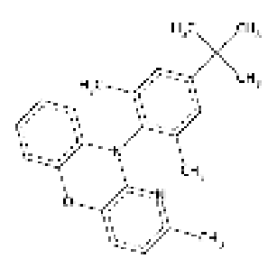 Cc1ccc2c(n1)N(c1c(C)cc(C(C)(C)C)cc1C)c1ccccc1O2